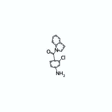 Nc1ccc(C(=O)n2ccc3ccccc32)c(Cl)c1